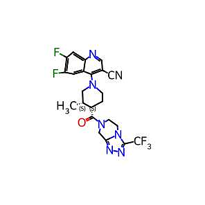 C[C@@H]1CN(c2c(C#N)cnc3cc(F)c(F)cc23)CC[C@@H]1C(=O)N1CCn2c(nnc2C(F)(F)F)C1